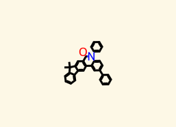 CC1(C)c2ccccc2-c2cc3c(cc21)c(=O)n(-c1ccccc1)c1ccc(-c2ccccc2)cc31